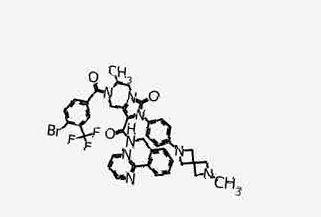 C[C@H]1Cn2c(c(C(=O)NCc3ccccc3-c3ncccn3)n(-c3ccc(N4CC5(CN(C)C5)C4)cc3)c2=O)CN1C(=O)c1ccc(Br)c(C(F)(F)F)c1